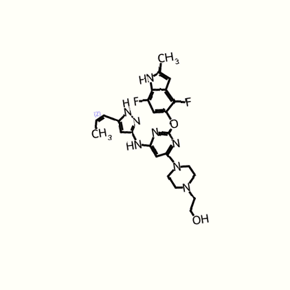 C/C=C\c1cc(Nc2cc(N3CCN(CCO)CC3)nc(Oc3cc(F)c4[nH]c(C)cc4c3F)n2)n[nH]1